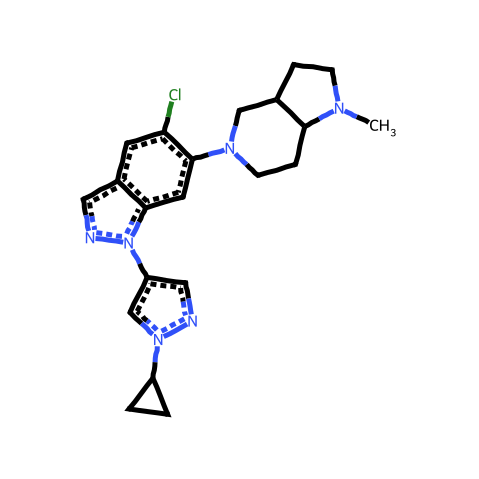 CN1CCC2CN(c3cc4c(cnn4-c4cnn(C5CC5)c4)cc3Cl)CCC21